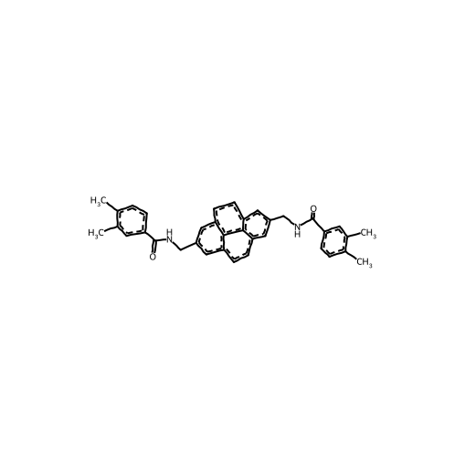 Cc1ccc(C(=O)NCc2cc3ccc4cc(CNC(=O)c5ccc(C)c(C)c5)cc5ccc(c2)c3c45)cc1C